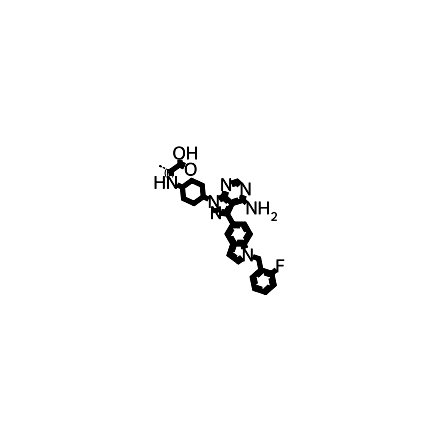 C[C@@H](NC1CCC(n2nc(-c3ccc4c(ccn4Cc4ccccc4F)c3)c3c(N)ncnc32)CC1)C(=O)O